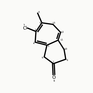 CC1=C(Cl)C=C2CC(=O)CCC2=CC1